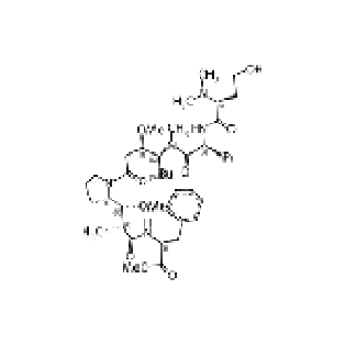 CC[C@H](C)[C@@H]([C@@H](CC(=O)N1CCC[C@H]1[C@H](OC)[C@@H](C)C(=O)N[C@@H](Cc1ccccc1)C(=O)OC)OC)N(C)C(=O)[C@@H](NC(=O)[C@H](CCO)N(C)C)C(C)C